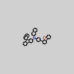 c1ccc2c(c1)-c1ccc(N(c3ccc(-c4cccc5c4oc4ccccc45)cc3)c3ccc4ccccc4c3)cc1C21C2CC3CC(C2)CC1C3